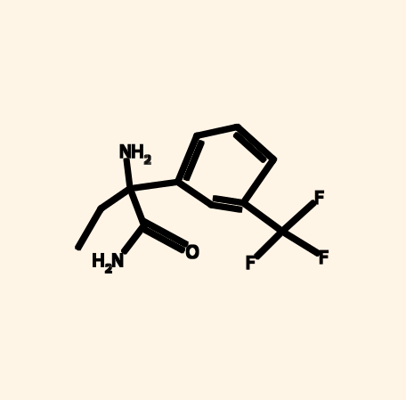 CCC(N)(C(N)=O)c1cccc(C(F)(F)F)c1